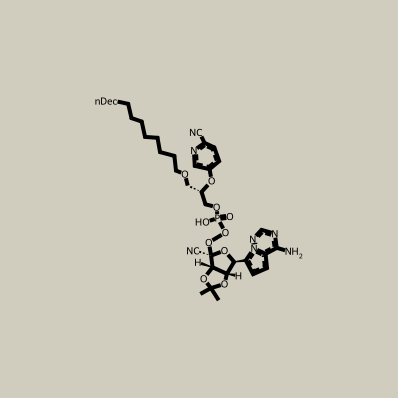 CCCCCCCCCCCCCCCCCCOC[C@@H](COP(=O)(O)OO[C@@]1(C#N)O[C@@H](c2ccc3c(N)ncnn23)[C@@H]2OC(C)(C)O[C@@H]21)Oc1ccc(C#N)nc1